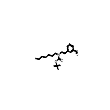 CCCCCCCN(CCc1cccc(C=O)c1)C(=O)OC(C)(C)C